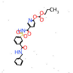 CCCOC(=O)Oc1ccc(C(=O)NS(=O)(=O)c2cccc(C(=O)NCc3ccccc3)c2)cn1